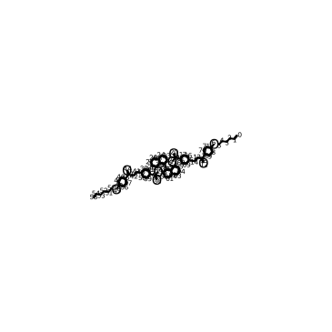 C=CCCCCOc1ccc(C(=O)/C=C/c2ccc(C(=O)Oc3ccc4ccccc4c3-c3c(OC(=O)c4ccc(/C=C/C(=O)c5ccc(OCCCCC=C)cc5)cc4)ccc4ccccc34)cc2)cc1